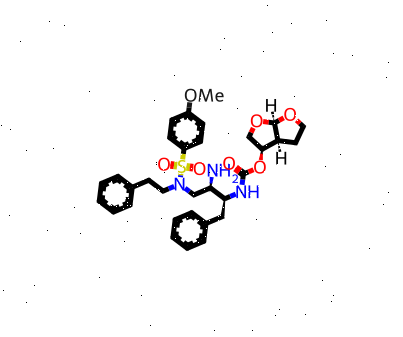 COc1ccc(S(=O)(=O)N(CCc2ccccc2)C[C@@H](N)[C@H](Cc2ccccc2)NC(=O)O[C@H]2CO[C@H]3OCC[C@H]32)cc1